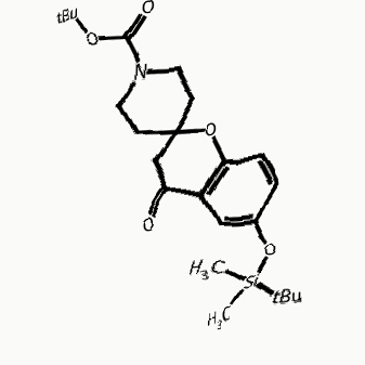 CC(C)(C)OC(=O)N1CCC2(CC1)CC(=O)c1cc(O[Si](C)(C)C(C)(C)C)ccc1O2